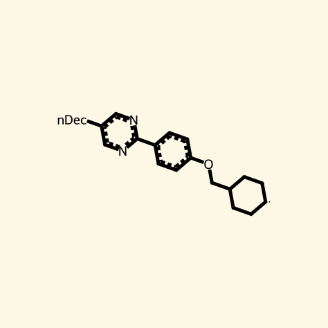 CCCCCCCCCCc1cnc(-c2ccc(OCC3CC[CH]CC3)cc2)nc1